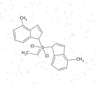 C[CH]=[Ti]([Cl])([Cl])([CH]1C=Cc2c(C)cccc21)[CH]1C=Cc2c(C)cccc21